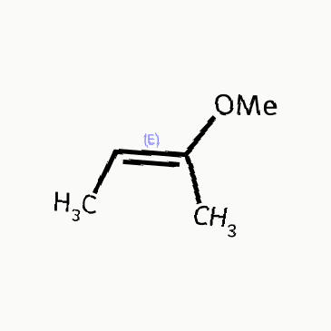 C/C=C(\C)OC